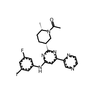 CC(=O)N1C[C@H](c2nc(Nc3cc(F)cc(I)c3)cc(-c3cnccn3)n2)CC[C@@H]1C